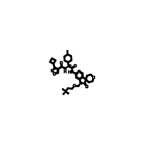 CC1CCC([C@H](NC(=O)c2conc2C2CCC2)C(=O)Nc2cc3c(cn2)C2(CCOCC2)C(=O)N3COCC[Si](C)(C)C)CC1